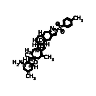 CC1=C2C[C@H]3[C@@H](CC[C@@H]4Cc5nn(S(=O)(=O)c6ccc(C)cc6)cc5C[C@@]43C)[C@@H]2CC[C@@]2(C1)O[C@@H]1C[C@H](C)CN(N)[C@H]1[C@H]2C